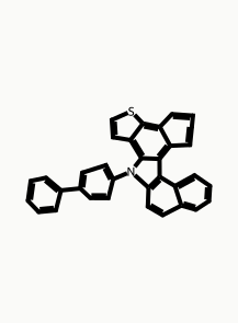 c1ccc(-c2ccc(-n3c4ccc5ccccc5c4c4c5ccccc5c5sccc5c43)cc2)cc1